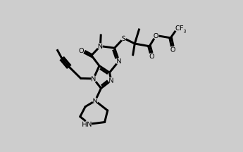 CC#CCn1c(N2CCNCC2)nc2nc(SC(C)(C)C(=O)OC(=O)C(F)(F)F)n(C)c(=O)c21